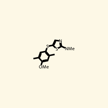 CNc1ncc(Sc2cc(C)c(OC)cc2C)s1